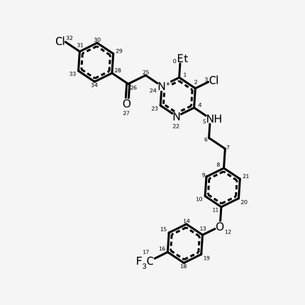 CCc1c(Cl)c(NCCc2ccc(Oc3ccc(C(F)(F)F)cc3)cc2)nc[n+]1CC(=O)c1ccc(Cl)cc1